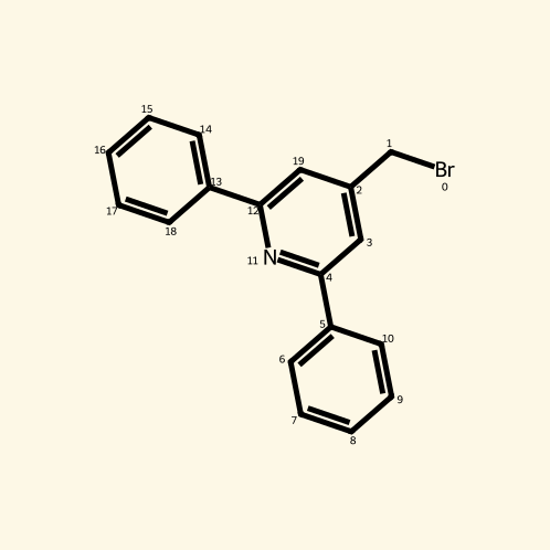 BrCc1cc(-c2ccccc2)nc(-c2ccccc2)c1